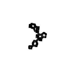 Clc1ccc(-c2nc3c(c(NCc4cccnc4)n2)CCC3)cc1